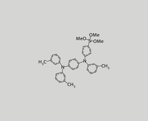 CO[Si](OC)(OC)c1ccc(N(c2ccc(N(c3cccc(C)c3)c3cccc(C)c3)cc2)c2cccc(C)c2)cc1